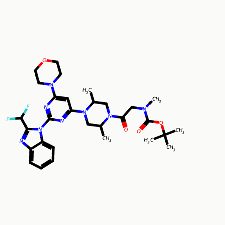 CC1CN(c2cc(N3CCOCC3)nc(-n3c(C(F)F)nc4ccccc43)n2)C(C)CN1C(=O)CN(C)C(=O)OC(C)(C)C